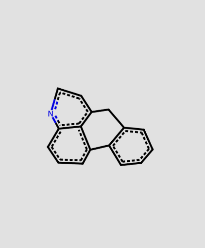 c1ccc2c(c1)Cc1ccnc3cccc-2c13